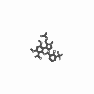 COc1cc(OC)c(C2CCN(C)C2COC(C)=O)c(OC(=O)c2cccc(C(F)(F)F)c2Cl)c1C(C)=O